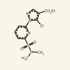 CCOC(=O)c1cnn(-c2cccc(S(=O)(=O)N(C)C)n2)c1Cl